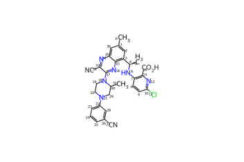 Cc1cc([C@@H](C)Nc2ccc(Cl)nc2C(=O)O)c2nc(N3CCN(c4cccc(C#N)c4)CC3C)c(C#N)nc2c1